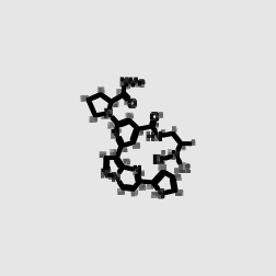 CCN(CC)C(C)CNC(=O)c1cc(-c2cnn3ccc(-c4cccs4)nc23)nc(N2CCCC2C(=O)NC)c1